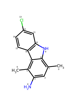 Cc1cc(N)c(C)c2c1[nH]c1cc(Cl)ccc12